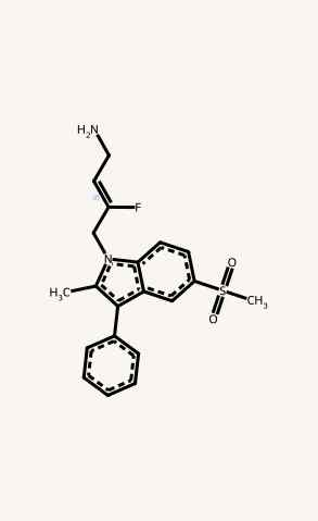 Cc1c(-c2ccccc2)c2cc(S(C)(=O)=O)ccc2n1C/C(F)=C/CN